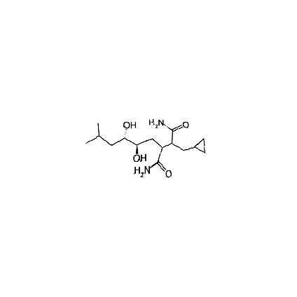 CC(C)C[C@H](O)[C@H](O)CC(C(N)=O)C(CC1CC1)C(N)=O